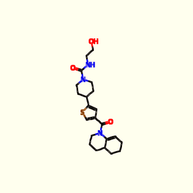 O=C(NCCO)N1CCC(c2cc(C(=O)N3CCCC4CCCC=C43)cs2)CC1